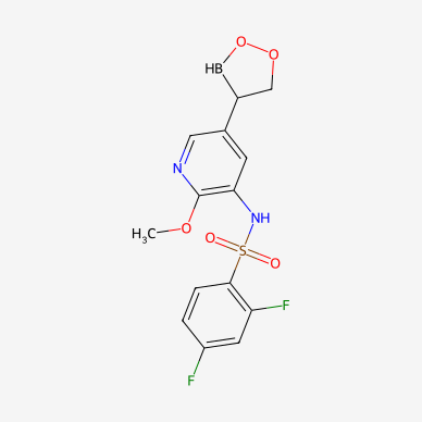 COc1ncc(C2BOOC2)cc1NS(=O)(=O)c1ccc(F)cc1F